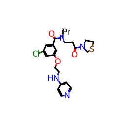 CC(C)N(CCC(=O)N1CCSC1)C(=O)c1cc(Cl)cc(OCCNc2ccncc2)c1